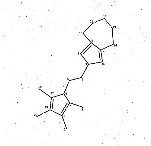 CC1=C(C)C(CCC2C=C3CCCCCC3=C2)C(C)=C1C